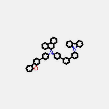 c1cc(-c2ccc(N(c3ccc(-c4ccc5c(c4)oc4ccccc45)cc3)c3cc4ccccc4c4ccccc34)cc2)cc(-c2cccc(-n3c4ccccc4c4ccccc43)c2)c1